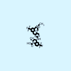 CCOCCOc1cnc(N[C@H]2C[C@@H](CC)N(C(=O)O)c3ccc(C(F)(F)F)cc32)nc1Cc1cc(C#N)cc(C(F)(F)F)c1